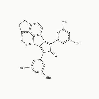 CC(C)(C)c1cc(C2=C3C(=C(c4cc(C(C)(C)C)cc(C(C)(C)C)c4)C2=O)c2ccc4c5c(ccc3c25)CC4)cc(C(C)(C)C)c1